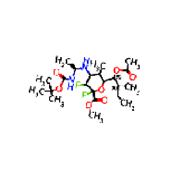 C=C(NC(=O)OC(C)(C)C)NC1C(C)C([C@H](OC(C)=O)[C@H](C)CC)OC(F)(C(=O)OC)C1F